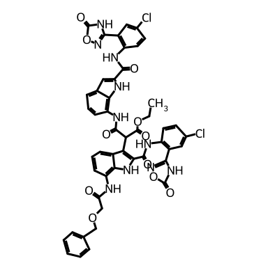 CCOC(=O)C(C(=O)Nc1cccc2cc(C(=O)Nc3ccc(Cl)cc3-c3noc(=O)[nH]3)[nH]c12)c1c(C(=O)Nc2ccc(Cl)cc2-c2noc(=O)[nH]2)[nH]c2c(NC(=O)COCc3ccccc3)cccc12